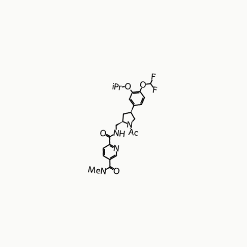 CNC(=O)c1ccc(C(=O)NC[C@H]2C[C@@H](c3ccc(OC(F)F)c(OC(C)C)c3)CN2C(C)=O)nc1